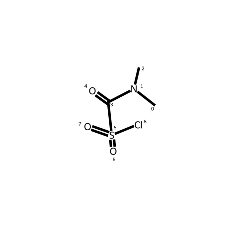 CN(C)C(=O)S(=O)(=O)Cl